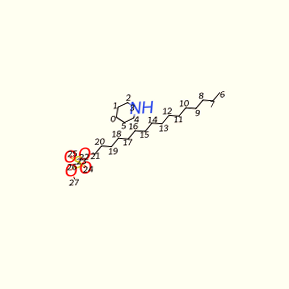 C1CCNCC1.CCCCCCCCCCCCCCCCOS(=O)(=O)OC